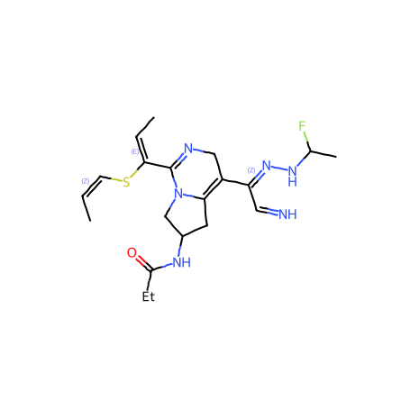 C/C=C\S/C(=C/C)C1=NCC(/C(C=N)=N/NC(C)F)=C2CC(NC(=O)CC)CN12